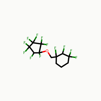 FC1C(F)(F)CCCC1(F)COC1(F)C(F)C(F)(F)C(F)(F)C1(F)F